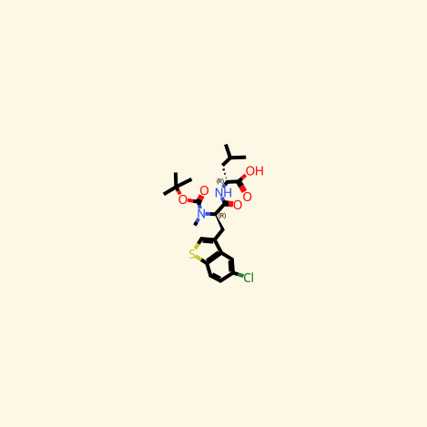 CC(C)C[C@@H](NC(=O)[C@@H](Cc1csc2ccc(Cl)cc12)N(C)C(=O)OC(C)(C)C)C(=O)O